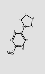 CSc1cnc(N2CCCC2)cn1